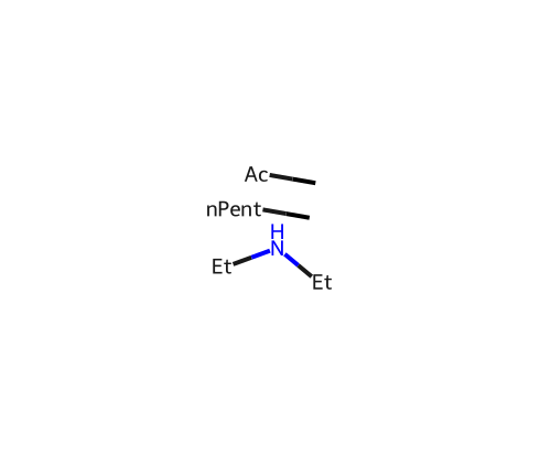 CC(C)=O.CCCCCC.CCNCC